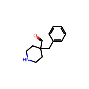 O=CC1(Cc2ccccc2)CCNCC1